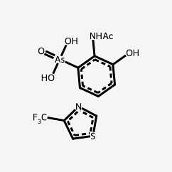 CC(=O)Nc1c(O)cccc1[As](=O)(O)O.FC(F)(F)c1cscn1